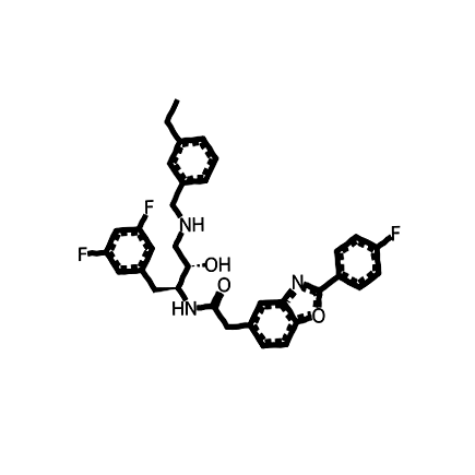 CCc1cccc(CNC[C@H](O)[C@H](Cc2cc(F)cc(F)c2)NC(=O)Cc2ccc3oc(-c4ccc(F)cc4)nc3c2)c1